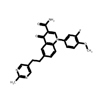 COc1ccc(-n2cc(C(N)=O)c(=O)c3cc(CCc4cnc(C)nc4)ccc32)cc1F